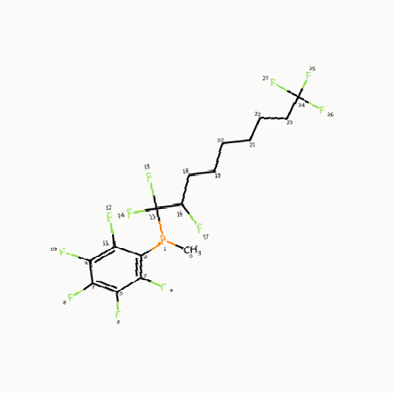 CP(c1c(F)c(F)c(F)c(F)c1F)C(F)(F)C(F)CCCCCCC(F)(F)F